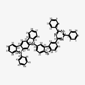 c1ccc(-c2nc(-c3ccccc3)nc(-c3ccc4sc5ccc(-n6c7ccccc7c7cc8c9ccccc9n(-c9ccccc9)c8cc76)cc5c4c3)n2)cc1